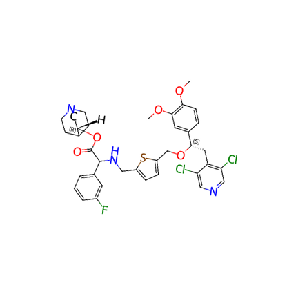 COc1ccc([C@H](Cc2c(Cl)cncc2Cl)OCc2ccc(CNC(C(=O)O[C@H]3CN4CCC3CC4)c3cccc(F)c3)s2)cc1OC